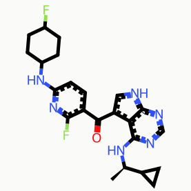 C[C@@H](Nc1ncnc2[nH]cc(C(=O)c3ccc(NC4CCC(F)CC4)nc3F)c12)C1CC1